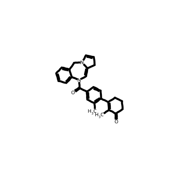 CC1=C(c2ccc(C(=O)N3C=C4CC=CN4Cc4ccccc43)cc2C)CCCC1=O